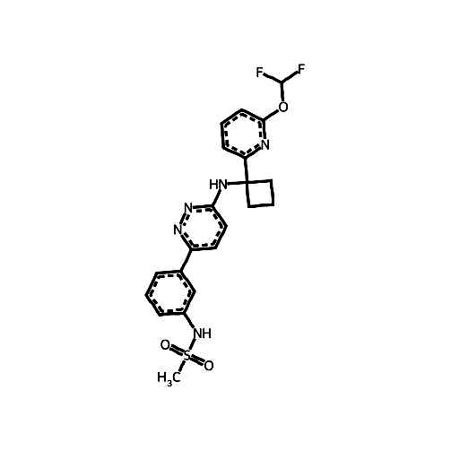 CS(=O)(=O)Nc1cccc(-c2ccc(NC3(c4cccc(OC(F)F)n4)CCC3)nn2)c1